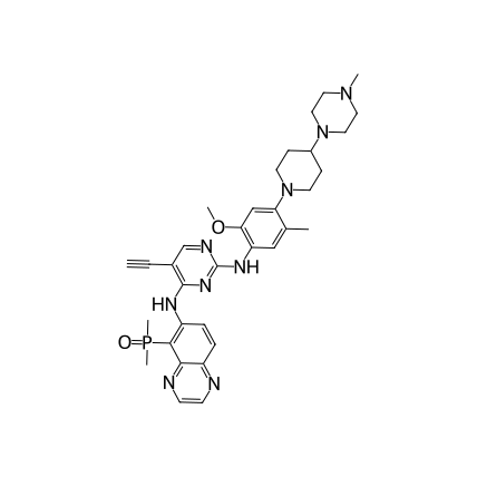 C#Cc1cnc(Nc2cc(C)c(N3CCC(N4CCN(C)CC4)CC3)cc2OC)nc1Nc1ccc2nccnc2c1P(C)(C)=O